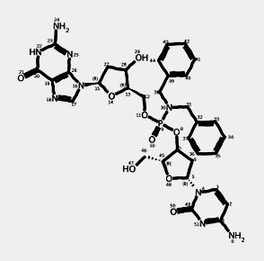 Nc1ccn([C@H]2CC(OP(=O)(OC[C@H]3O[C@@H](n4cnc5c(=O)[nH]c(N)nc54)CC3O)N(Cc3ccccc3)Cc3ccccc3)[C@@H](CO)O2)c(=O)n1